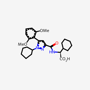 COc1cccc(OC)c1-c1cc(C(=O)N[C@H](C(=O)O)C2CCCCC2)nn1C1CCCCC1